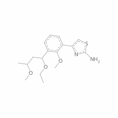 CCOC(CC(C)OC)c1cccc(-c2csc(N)n2)c1OC